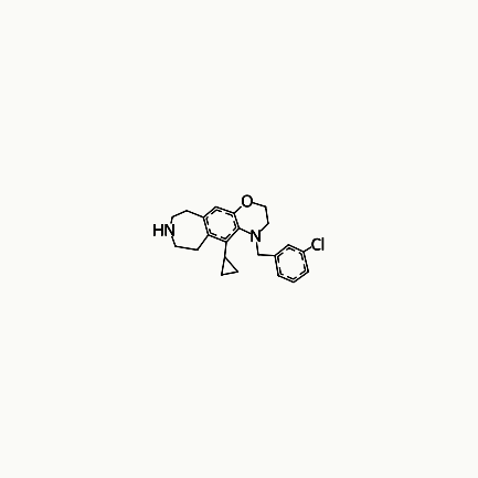 Clc1cccc(CN2CCOc3cc4c(c(C5CC5)c32)CCNCC4)c1